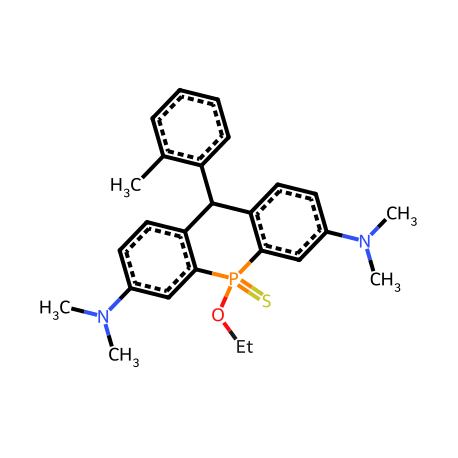 CCOP1(=S)c2cc(N(C)C)ccc2C(c2ccccc2C)c2ccc(N(C)C)cc21